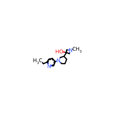 CCc1ccc(N2CCCC(C3(O)CN(C)C3)C2)cn1